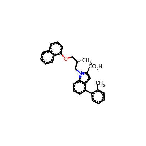 Cc1ccccc1-c1cccc2c1cc(C(=O)O)n2C[C@@H](C)COc1cccc2ccccc12